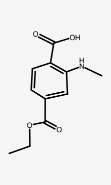 CCOC(=O)c1ccc(C(=O)O)c(NC)c1